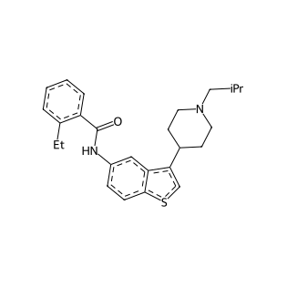 CCc1ccccc1C(=O)Nc1ccc2scc(C3CCN(CC(C)C)CC3)c2c1